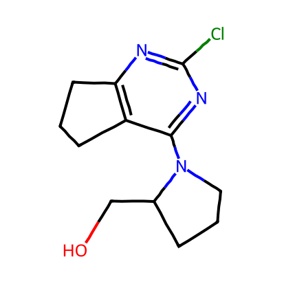 OCC1CCCN1c1nc(Cl)nc2c1CCC2